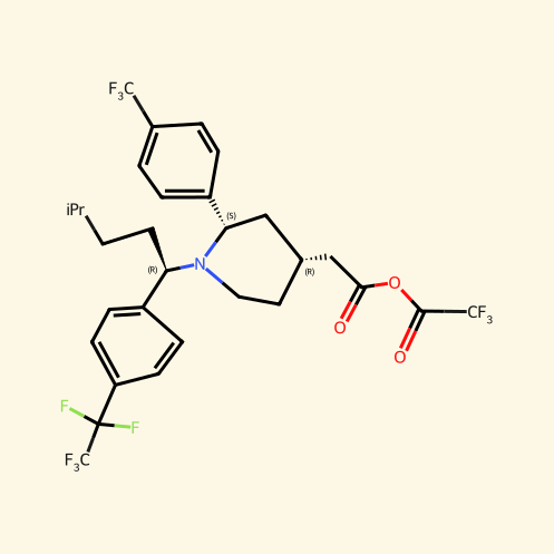 CC(C)CC[C@H](c1ccc(C(F)(F)C(F)(F)F)cc1)N1CC[C@@H](CC(=O)OC(=O)C(F)(F)F)C[C@H]1c1ccc(C(F)(F)F)cc1